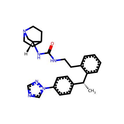 C[C@H](c1ccc(-n2cncn2)cc1)c1ccccc1CCNC(=O)N[C@@H]1CN2CCC1CC2